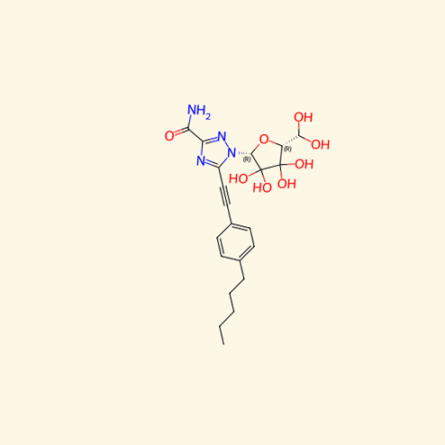 CCCCCc1ccc(C#Cc2nc(C(N)=O)nn2[C@@H]2O[C@H](C(O)O)C(O)(O)C2(O)O)cc1